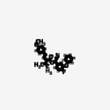 COc1ccc(C=CC(C(=O)OC(C#N)c2ccc(F)c(Oc3ccccc3)c2)C(C)C)cc1